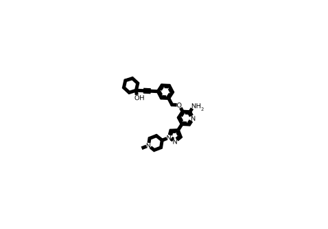 CN1CCC(n2cc(-c3cnc(N)c(OCc4cccc(C#CC5(O)CCCCC5)c4)c3)cn2)CC1